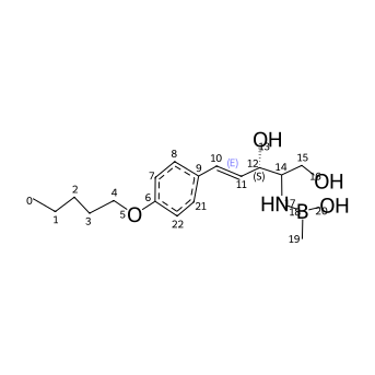 CCCCCOc1ccc(/C=C/[C@H](O)C(CO)NB(C)O)cc1